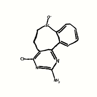 Nc1nc(Cl)c2c(n1)-c1ccccc1[S+]([O-])CC2